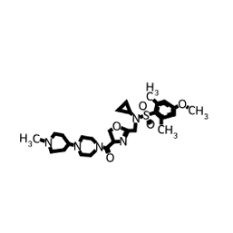 COc1cc(C)c(S(=O)(=O)N(CC2=NC(C(=O)N3CCN(C4CCN(C)CC4)CC3)CO2)C2CC2)c(C)c1